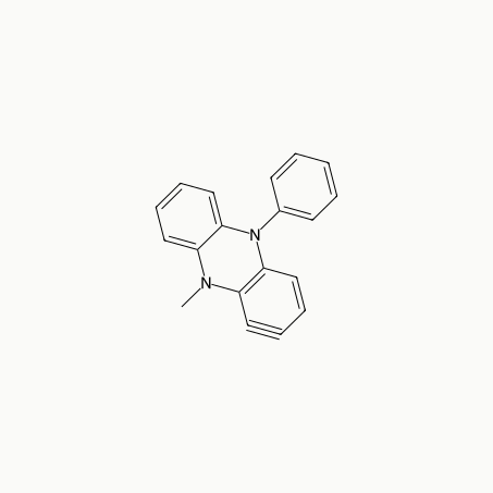 CN1c2c#cccc2N(c2ccccc2)c2ccccc21